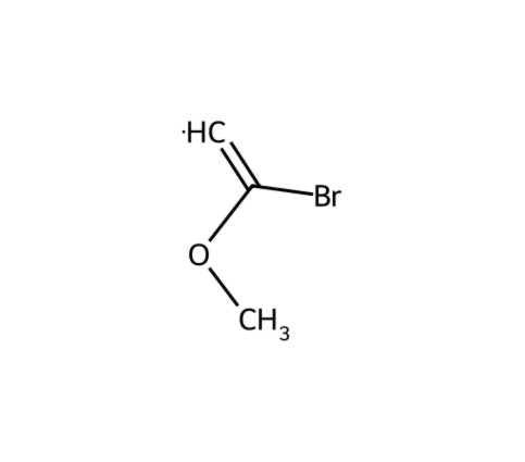 [CH]=C(Br)OC